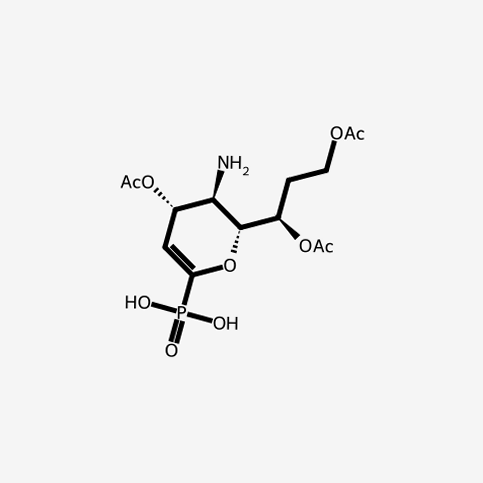 CC(=O)OCC[C@@H](OC(C)=O)[C@@H]1OC(P(=O)(O)O)=C[C@H](OC(C)=O)[C@H]1N